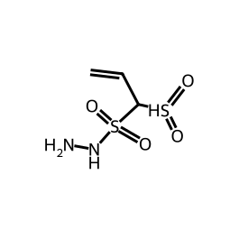 C=CC([SH](=O)=O)S(=O)(=O)NN